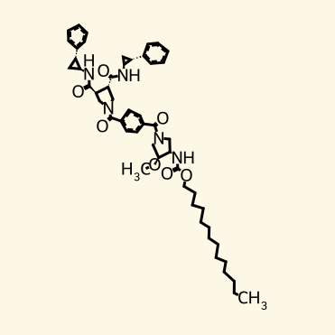 CCCCCCCCCCCCCCOC(=O)N[C@H]1CN(C(=O)c2ccc(C(=O)N3C[C@@H](C(=O)N[C@H]4C[C@@H]4c4ccccc4)[C@H](C(=O)N[C@H]4C[C@@H]4c4ccccc4)C3)cc2)C[C@@H]1OC